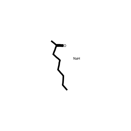 CCCCCCC(C)=O.[NaH]